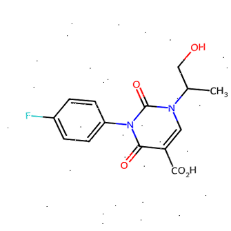 CC(CO)n1cc(C(=O)O)c(=O)n(-c2ccc(F)cc2)c1=O